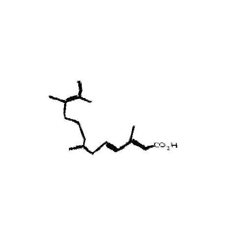 CC(C)=C(C)CCC(C)C/C=C/C(C)=C/C(=O)O